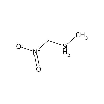 C[SiH2]C[N+](=O)[O-]